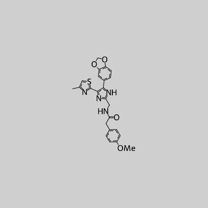 COc1ccc(CC(=O)NCc2nc(-c3nc(C)cs3)c(-c3ccc4c(c3)OCO4)[nH]2)cc1